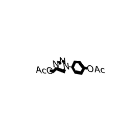 CC(=O)OCc1cn([C@H]2C=CC(OC(C)=O)=CC2)nn1